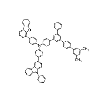 Cc1cc(C)cc(-c2ccc(-c3cc(-c4ccccc4)cc(-c4ccc(N(c5ccc(-c6ccc7c(c6)c6ccccc6n7-c6ccccc6)cc5)c5ccc(-c6cccc7c6oc6ccccc67)cc5)cc4)c3)cc2)c1